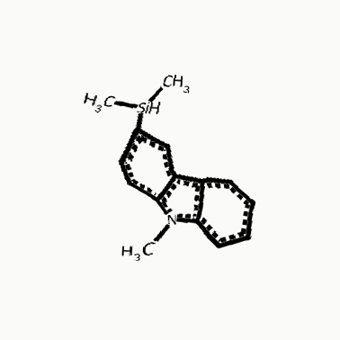 Cn1c2ccccc2c2cc([SiH](C)C)ccc21